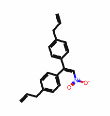 C=CCc1ccc(C(=C[N+](=O)[O-])c2ccc(CC=C)cc2)cc1